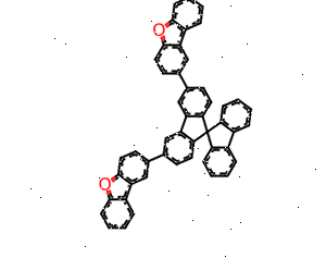 c1ccc2c(c1)-c1ccccc1C21c2ccc(-c3ccc4oc5ccccc5c4c3)cc2-c2cc(-c3ccc4oc5ccccc5c4c3)ccc21